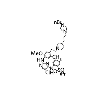 CCCCN1CCN(CCCC2CCN(CCc3cc(OC)c(Nc4ncc(Cl)c(Nc5ccccc5S(=O)(=O)C(C)C)n4)cc3C)CC2)CC1